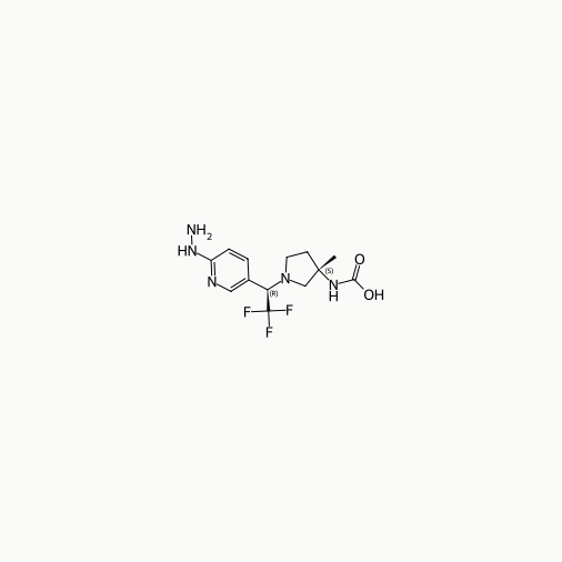 C[C@]1(NC(=O)O)CCN([C@H](c2ccc(NN)nc2)C(F)(F)F)C1